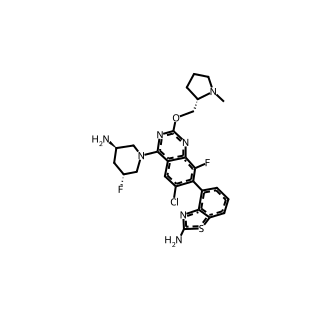 CN1CCC[C@H]1COc1nc(N2C[C@H](N)C[C@@H](F)C2)c2cc(Cl)c(-c3cccc4sc(N)nc34)c(F)c2n1